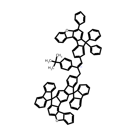 CC(C)(C)c1ccc(/C(=C\c2ccc3c(c2)C(c2ccccc2)(c2ccccc2)c2cc(-c4ccccc4)c4oc5ccccc5c4c2-3)Cc2ccc3c(c2)C2(c4ccccc4-c4ccccc42)c2cc4c(cc2-3)C2(c3ccccc3-c3ccccc32)c2ccc3oc5ccccc5c3c2-4)cc1